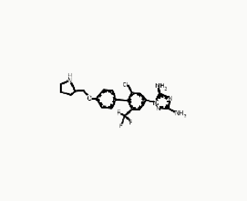 Nc1nc(N)n(-c2cc(Cl)c(-c3ccc(OCC4CCCN4)cc3)c(C(F)(F)F)c2)n1